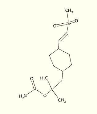 CC(C)(CC1CCC(C=CS(C)(=O)=O)CC1)OC(N)=O